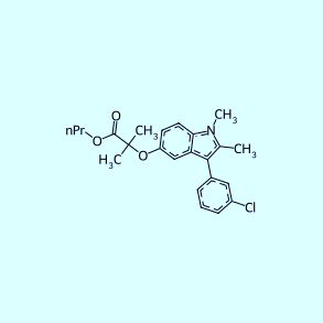 CCCOC(=O)C(C)(C)Oc1ccc2c(c1)c(-c1cccc(Cl)c1)c(C)n2C